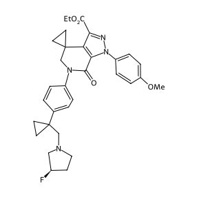 CCOC(=O)c1nn(-c2ccc(OC)cc2)c2c1C1(CC1)CN(c1ccc(C3(CN4CC[C@@H](F)C4)CC3)cc1)C2=O